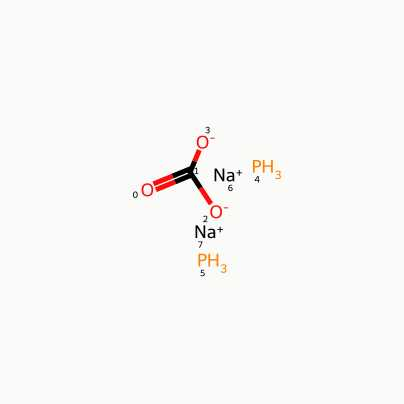 O=C([O-])[O-].P.P.[Na+].[Na+]